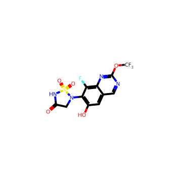 O=C1CN(c2c(O)cc3cnc(OC(F)(F)F)nc3c2F)S(=O)(=O)N1